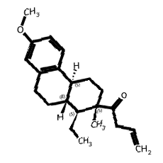 C=CCC(=O)[C@@]1(C)CC[C@@H]2c3ccc(OC)cc3CC[C@H]2[C@@H]1CC